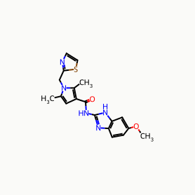 COc1ccc2nc(NC(=O)c3cc(C)n(Cc4nccs4)c3C)[nH]c2c1